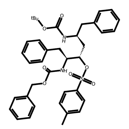 Cc1ccc(S(=O)(=O)O[C@@H](C[C@H](Cc2ccccc2)NC(=O)OC(C)(C)C)[C@H](Cc2ccccc2)NC(=O)OCc2ccccc2)cc1